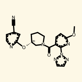 COc1ccc(C(=O)N2CCC[C@@H](Oc3cc(C#N)ccn3)C2)c(-n2nccn2)n1